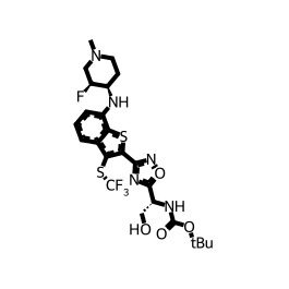 CN1CC[C@@H](Nc2cccc3c(SC(F)(F)F)c(-c4noc([C@@H](CO)NC(=O)OC(C)(C)C)n4)sc23)[C@@H](F)C1